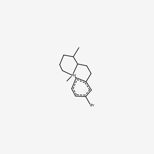 CC(C)c1ccc2c(c1)CCC1C(C)CCC[PH]21C